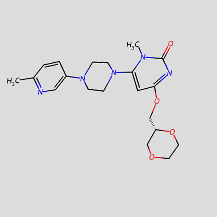 Cc1ccc(N2CCN(c3cc(OC[C@H]4COCCO4)nc(=O)n3C)CC2)cn1